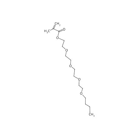 C=C(C)C(=O)OCCOCCOCCOCCOCCCC